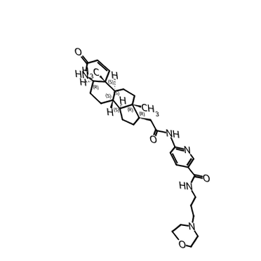 C[C@]12C=CC(=O)N[C@@H]1CC[C@@H]1[C@@H]2CC[C@]2(C)[C@@H](CC(=O)Nc3ccc(C(=O)NCCCN4CCOCC4)cn3)CC[C@@H]12